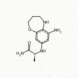 C[C@H](Nc1cc(N)c2c(c1)OCCCN2)C(N)=O